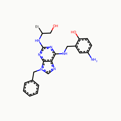 CCC(CO)Nc1nc(NCc2cc(N)ccc2O)c2ncn(Cc3ccccc3)c2n1